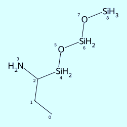 CCC(N)[SiH2]O[SiH2]O[SiH3]